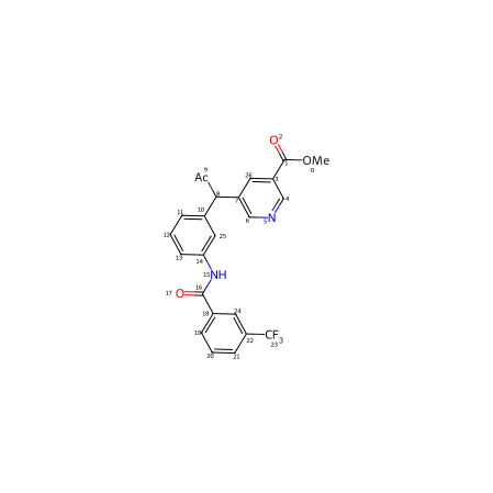 COC(=O)c1cncc(C(C(C)=O)c2cccc(NC(=O)c3cccc(C(F)(F)F)c3)c2)c1